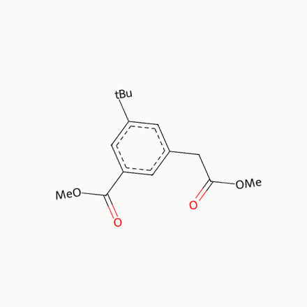 COC(=O)Cc1cc(C(=O)OC)cc(C(C)(C)C)c1